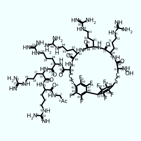 CC(=O)CNC(=O)C(CCCNC(=N)N)NC(=O)C(CCCNC(=N)N)NC(=O)C(CCCNC(=N)N)NC(=O)C1CSc2c(F)c(F)c(c(F)c2F)-c2c(F)c(F)c(c(F)c2F)SCC(NO)C(=O)NC(CCCNC(=N)N)C(=O)NC(CCCNC(=N)N)C(=O)NC(CCCNC(N)N)C(=O)N1